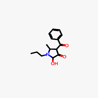 CCCN1C(O)C(=O)C(C(=O)c2ccccc2)C1C